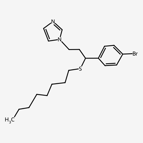 CCCCCCCCSC(CCn1ccnc1)c1ccc(Br)cc1